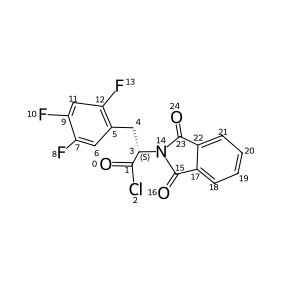 O=C(Cl)[C@H](Cc1cc(F)c(F)cc1F)N1C(=O)c2ccccc2C1=O